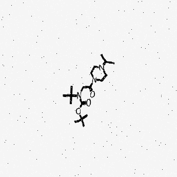 CC(C)N1CCN(C(=O)CN(C(=O)OC(C)(C)C)C(C)(C)C)CC1